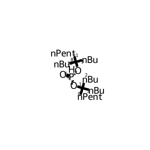 CCCCCC(CCCC)(CCCC)O[PH](=O)OC(CCCC)(CCCC)CCCCC